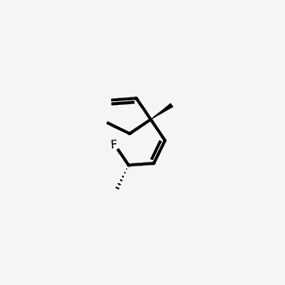 C=C[C@](C)(/C=C\[C@H](C)F)CC